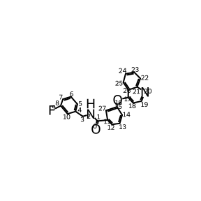 O=C(NCc1cccc(F)c1)c1cccc(Oc2ccnc3ccccc23)c1